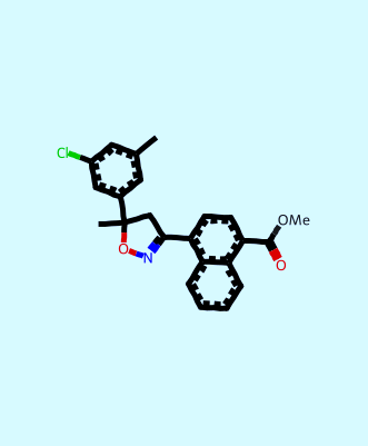 COC(=O)c1ccc(C2=NOC(C)(c3cc(C)cc(Cl)c3)C2)c2ccccc12